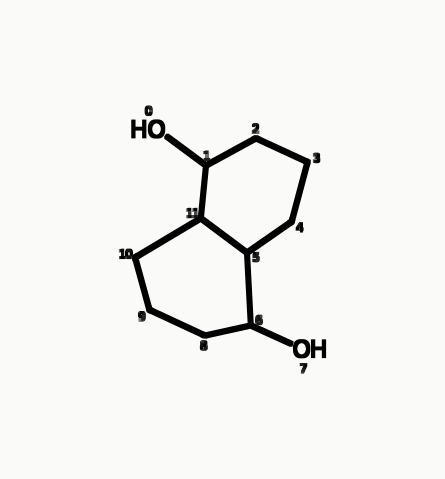 OC1CCCC2C(O)CCCC12